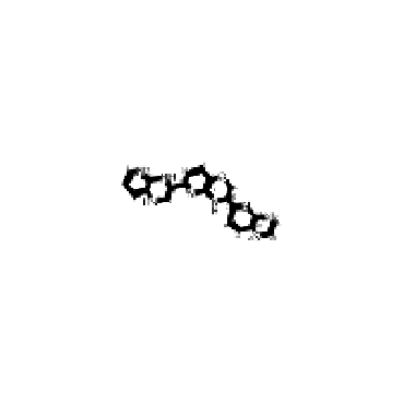 c1cnc2c(c1)NCC(c1ccc3c(n1)NC(c1ccc4c(n1)NCCS4)CO3)N2